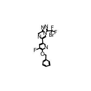 Fc1cc(-c2cn3c(C(F)(F)Br)nnc3cn2)cnc1OCc1ccccc1